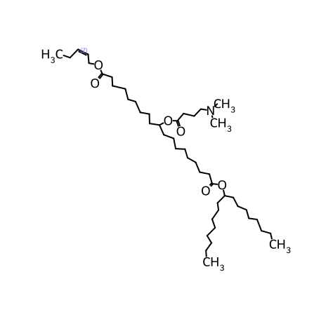 CC/C=C\COC(=O)CCCCCCCCC(CCCCCCCCC(=O)OC(CCCCCCCC)CCCCCCCC)OC(=O)CCCN(C)C